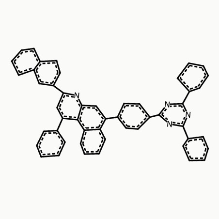 c1ccc(-c2nc(-c3ccccc3)nc(-c3ccc(-c4cc5nc(-c6ccc7ccccc7c6)cc(-c6ccccc6)c5c5ccccc45)cc3)n2)cc1